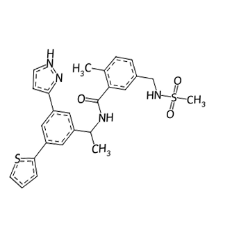 Cc1ccc(CNS(C)(=O)=O)cc1C(=O)NC(C)c1cc(-c2cc[nH]n2)cc(-c2cccs2)c1